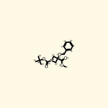 COC(=O)C1(OCc2ccccc2)CN(C(=O)OC(C)(C)C)C1